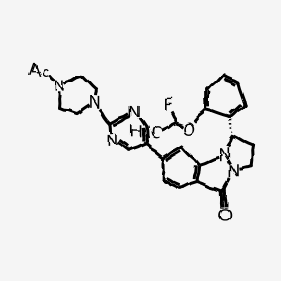 CC(=O)N1CCN(c2ncc(-c3ccc4c(=O)n5n(c4c3)[C@H](c3ccccc3OC(C)F)CC5)cn2)CC1